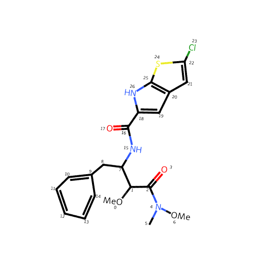 COC(C(=O)N(C)OC)C(Cc1ccccc1)NC(=O)c1cc2cc(Cl)sc2[nH]1